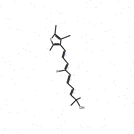 Cc1sc(C)c(/C=C/C=C(F)/C=C/C=C/C(C)(C)O)c1C